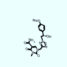 COc1ccc([C@@H](O)Cn2nnc(Cn3cc(C(N)=O)c(=O)n(C)c3=O)n2)cc1